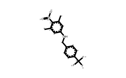 Cc1cc(NCc2ccc(C(F)(F)F)cc2)cc(C)c1[N+](=O)[O-]